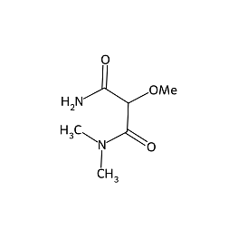 COC(C(N)=O)C(=O)N(C)C